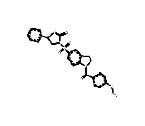 O=C(c1ccc(OC(F)(F)F)cc1)N1CCc2cc(S(=O)(=O)N3CC(c4ccccc4)NC3=O)ccc21